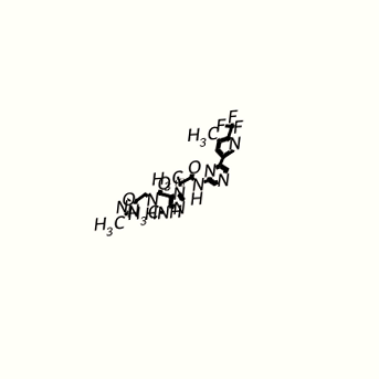 CNc1ncn([C@@H](C)C(=O)Nc2cncc(-c3cnc(C(F)(F)F)c(C)c3)n2)c1C(=O)NCc1nc(C)no1